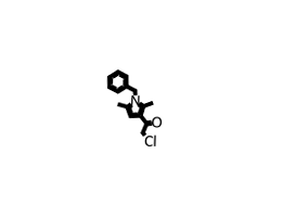 Cc1cc(C(=O)CCl)c(C)n1Cc1ccccc1